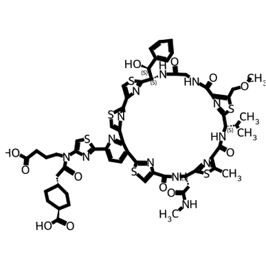 CNC(=O)C[C@@H]1NC(=O)c2csc(n2)-c2ccc(-c3nc(N(CCCC(=O)O)C(=O)C[C@H]4CC[C@H](C(=O)O)CC4)cs3)nc2-c2csc(n2)-c2csc(n2)[C@H]([C@@H](O)c2ccccc2)NC(=O)CNC(=O)c2nc(sc2COC)[C@H](C(C)C)NC(=O)c2nc1sc2C